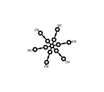 [C-]#[N+]c1ccc(C#Cc2ccc(-c3c(-c4ccc(C#Cc5ccc(C#N)cc5)cc4)c(-c4ccc(C#Cc5ccc(C#N)cc5)cc4)c(-c4ccc(C#Cc5ccc(C#N)cc5)cc4)c(-c4ccc(C#Cc5ccc(C#N)cc5)cc4)c3-c3ccc(C#Cc4ccc([N+]#[C-])cc4)cc3)cc2)cc1